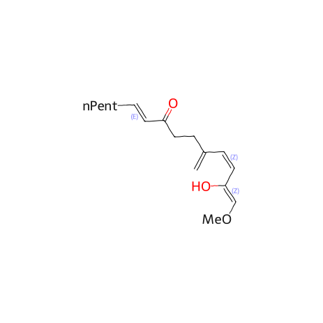 C=C(/C=C\C(O)=C\OC)CCC(=O)/C=C/CCCCC